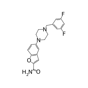 NC(=O)c1cc2cc(N3CCN(Cc4cc(F)cc(F)c4)CC3)ccc2o1